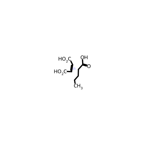 CCCCC(=O)O.O=C(O)/C=C\C(=O)O